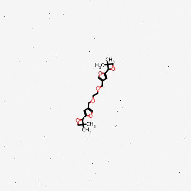 CC1(C)COC1c1cc(COCCOCc2coc(C3OCC3(C)C)c2)co1